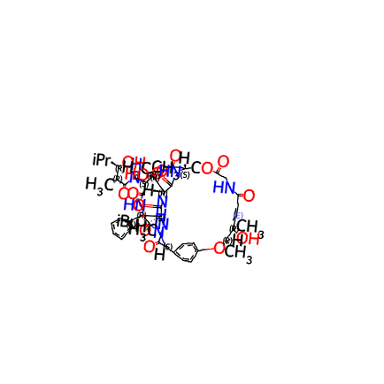 CC[C@H](C)[C@H]1NC(=O)[C@@H](NC(=O)[C@H](C)[C@H](O)C(C)C)[C@@H](C)OC(=O)[C@@H]2COC(=O)CNC(=O)/C=C/[C@@](C)(O)[C@@H](C)Oc3ccc(cc3)[C@H](NC1=O)C(=O)N(C)[C@@H](Cc1ccccc1)C(=O)N[C@H]([C@@H](C)O)C(=O)N2